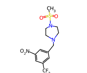 CS(=O)(=O)N1CCN(Cc2cc([N+](=O)[O-])cc(C(F)(F)F)c2)CC1